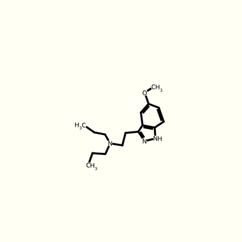 CCCN(CCC)CCc1n[nH]c2ccc(OC)cc12